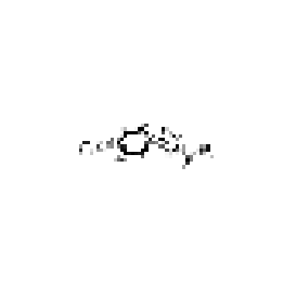 CC(N)N1CON(c2ccc(C(F)(F)F)cc2)C1